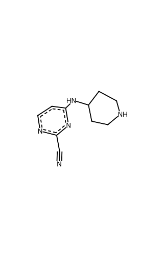 N#Cc1nccc(NC2CCNCC2)n1